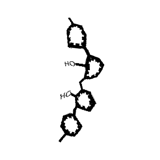 Cc1ccc(-c2cccc(Cc3cccc(-c4ccc(C)cc4)c3O)c2O)cc1